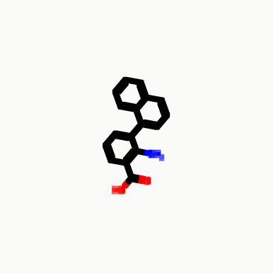 Nc1c(C(=O)O)cccc1-c1cccc2ccccc12